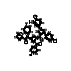 CN1CCN(C(=O)[C@@H]2C[C@H](N(C(=O)[C@@H]3CCCO3)[C@H]3CC[C@@H](C)CC3)CN2C(=O)[C@@H]2CN(c3ccc(=O)[nH]n3)C[C@H]2c2ccc(Cl)cc2)CC1